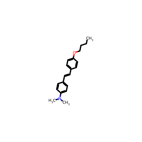 CCCCOc1ccc(C=Cc2ccc(N(C)C)cc2)cc1